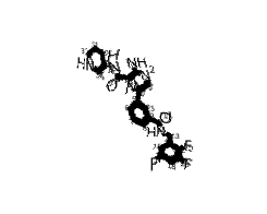 Nc1ncc(-c2cccc(C(=O)NCc3cc(F)cc(F)c3F)c2)nc1C(=O)N[C@H]1CCCNC1